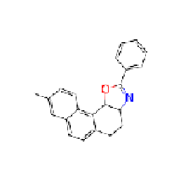 Cc1ccc2c3c(ccc2c1)CCC1N=C(c2ccccc2)OC31